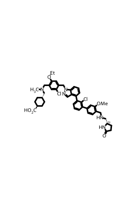 CCOc1cc(Cn2ncc3c(-c4cccc(-c5ccc(CNC[C@@H]6CCC(=O)N6)c(OC)c5)c4Cl)cccc32)c(Cl)cc1CN(C)C[C@H]1CC[C@H](C(=O)O)CC1